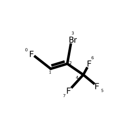 FC=C(Br)C(F)(F)F